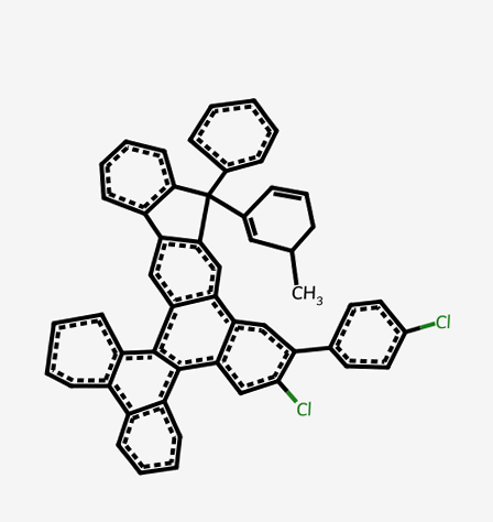 CC1C=C(C2(c3ccccc3)c3ccccc3-c3cc4c(cc32)c2cc(-c3ccc(Cl)cc3)c(Cl)cc2c2c3ccccc3c3ccccc3c42)C=CC1